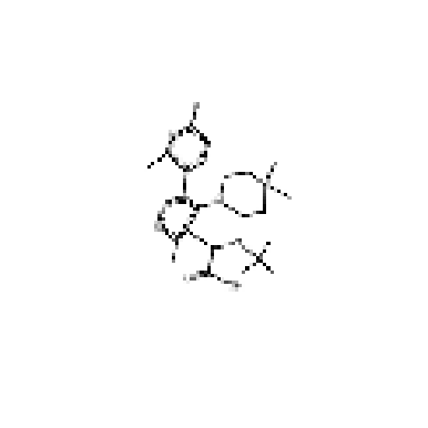 Cc1nc(F)ccc1-c1cnc(C)c(C(OC(C)(C)C)C(=O)O)c1N1CCC(C)(C)CC1